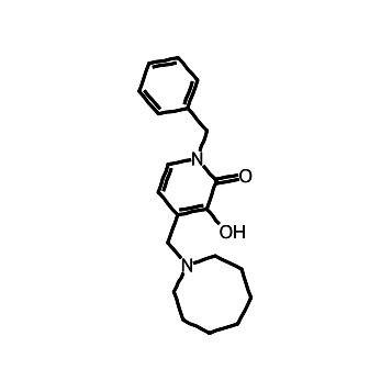 O=c1c(O)c(CN2CCCCCCC2)ccn1Cc1ccccc1